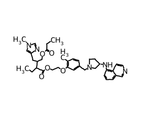 CCC(=O)OCC(Cc1cn(C)cn1)C(CC)C(=O)OCCOc1cc(CN2CC[C@@H](Nc3cccc4cnccc34)C2)ccc1C